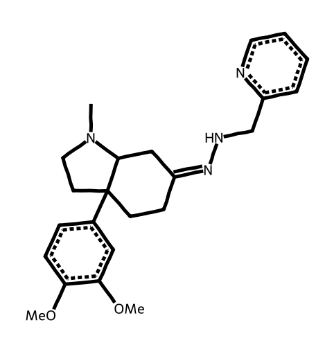 COc1ccc(C23CC/C(=N/NCc4ccccn4)CC2N(C)CC3)cc1OC